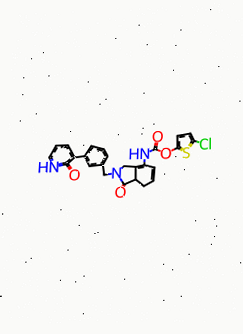 O=C(NC1=C2CN(Cc3cccc(-c4ccc[nH]c4=O)c3)C(=O)C2CC=C1)Oc1ccc(Cl)s1